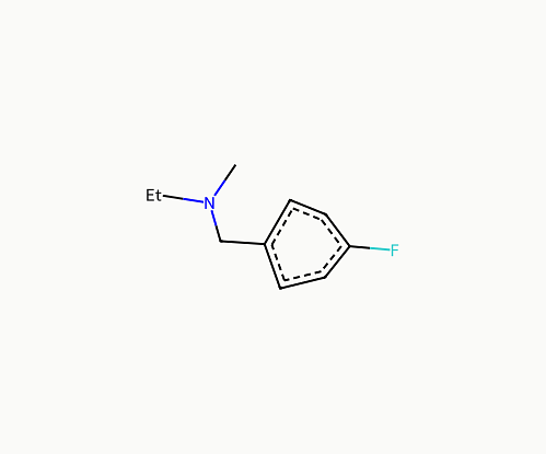 CCN(C)Cc1ccc(F)cc1